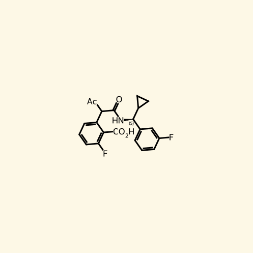 CC(=O)C(C(=O)N[C@H](c1cccc(F)c1)C1CC1)c1cccc(F)c1C(=O)O